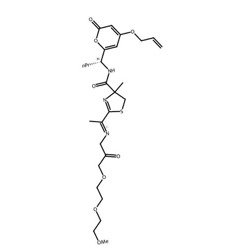 C=CCOc1cc([C@@H](CCC)NC(=O)C2(C)CSC(/C(C)=N/CC(=O)COCCOCCOC)=N2)oc(=O)c1